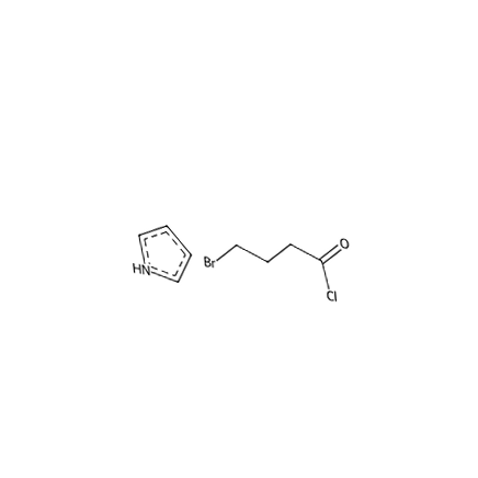 O=C(Cl)CCCBr.c1cc[nH]c1